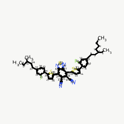 CCCCC(CC)CCc1ccc(-c2ccc(-c3c(C#N)c(C#N)c(-c4ccc(-c5ccc(CCC(C)CC)cc5F)s4)c4nsnc34)s2)c(F)c1